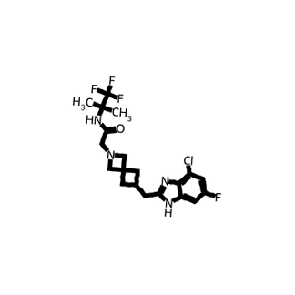 CC(C)(NC(=O)CN1CC2(CC(Cc3nc4c(Cl)cc(F)cc4[nH]3)C2)C1)C(F)(F)F